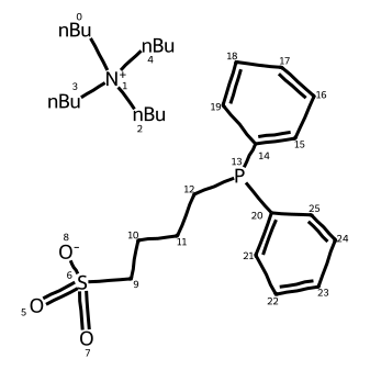 CCCC[N+](CCCC)(CCCC)CCCC.O=S(=O)([O-])CCCCP(c1ccccc1)c1ccccc1